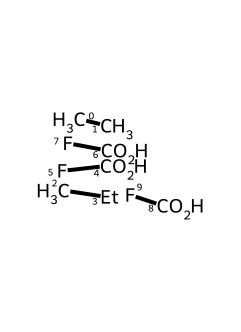 CC.CCC.O=C(O)F.O=C(O)F.O=C(O)F